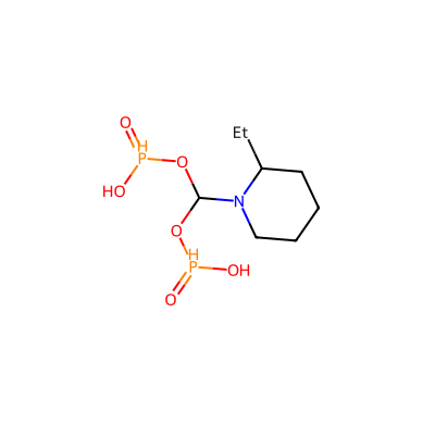 CCC1CCCCN1C(O[PH](=O)O)O[PH](=O)O